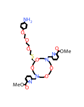 COC(=O)c1cccc(CN2CCOCCOCCN(Cc3cccc(C(=O)OC)n3)CCO[C@H](CSCCOCCOCCOc3ccc(N)cc3)COCC2)n1